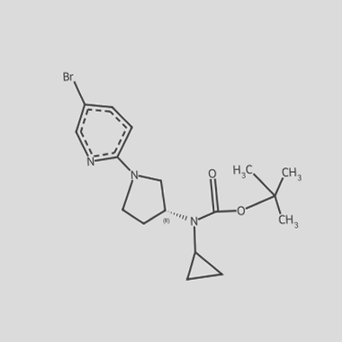 CC(C)(C)OC(=O)N(C1CC1)[C@@H]1CCN(c2ccc(Br)cn2)C1